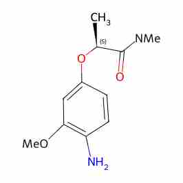 CNC(=O)[C@H](C)Oc1ccc(N)c(OC)c1